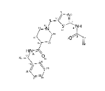 C=CC(=O)Nc1ncc(CN2CCC(C(=O)NC(C)c3ccccc3)CC2)s1